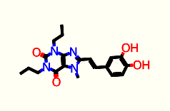 CCCn1c(=O)c2c(nc(C=Cc3ccc(O)c(O)c3)n2C)n(CCC)c1=O